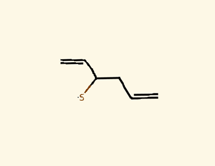 C=CCC([S])C=C